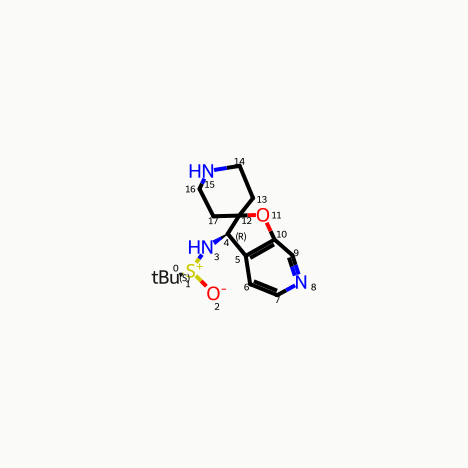 CC(C)(C)[S@@+]([O-])N[C@@H]1c2ccncc2OC12CCNCC2